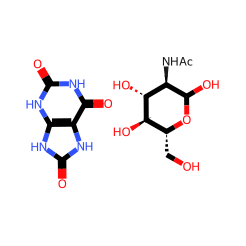 CC(=O)N[C@H]1C(O)O[C@H](CO)[C@@H](O)[C@@H]1O.O=c1[nH]c(=O)c2[nH]c(=O)[nH]c2[nH]1